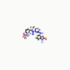 CS(=O)(=O)Nc1cccc(CNc2nc(Nc3cccc4c3CC(=O)N4)ncc2C(F)(F)F)c1